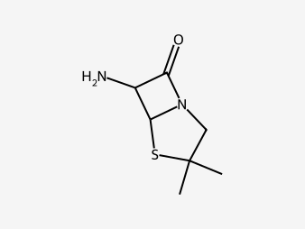 CC1(C)CN2C(=O)C(N)C2S1